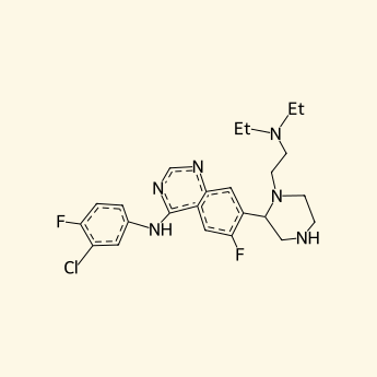 CCN(CC)CCN1CCNCC1c1cc2ncnc(Nc3ccc(F)c(Cl)c3)c2cc1F